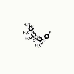 COc1cc(C(=O)N2CCN(c3cnc(N)cc3C)CC2CO)ncc1Oc1ccc(F)cc1